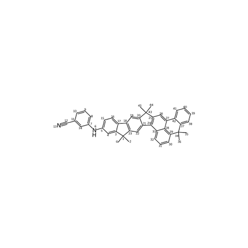 CC1(C)c2cc(Nc3cccc(C#N)c3)ccc2-c2cc3c(cc21)-c1c(cc2c4c(cccc14)C(C)(C)c1ccccc1-2)C3(C)C